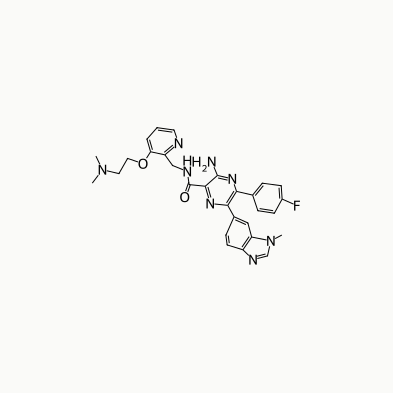 CN(C)CCOc1cccnc1CNC(=O)c1nc(-c2ccc3ncn(C)c3c2)c(-c2ccc(F)cc2)nc1N